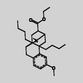 CCCCC12CC3C(C(=O)OCC)CC1(CCCC)C(Cc1ccc(OC)cc12)N3C